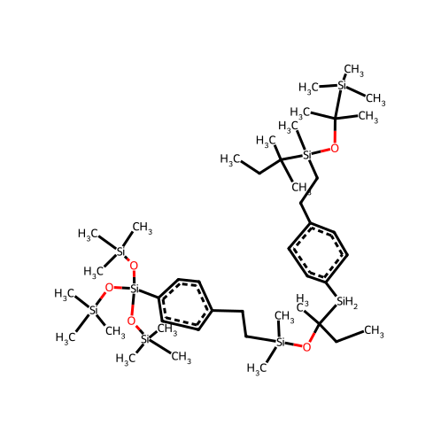 CCC(C)(O[Si](C)(C)CCc1ccc([Si](O[Si](C)(C)C)(O[Si](C)(C)C)O[Si](C)(C)C)cc1)[SiH2]c1ccc(CC[Si](C)(OC(C)(C)[Si](C)(C)C)C(C)(C)CC)cc1